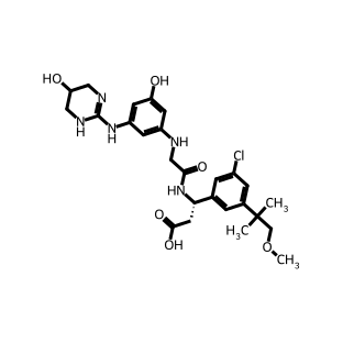 COCC(C)(C)c1cc(Cl)cc([C@H](CC(=O)O)NC(=O)CNc2cc(O)cc(NC3=NCC(O)CN3)c2)c1